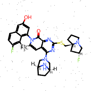 CCc1c(F)ccc2cc(O)cc(-n3c(C(F)(F)F)cc4c(N5C[C@H]6CC[C@@H](C5)N6)nc(SC[C@@]56CCCN5C[C@H](F)C6)nc4c3=O)c12